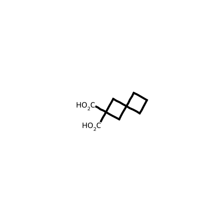 O=C(O)C1(C(=O)O)CC2(CCC2)C1